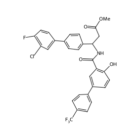 COC(=O)CC(NC(=O)c1cc(-c2ccc(C(F)(F)F)cc2)ccc1O)c1ccc(-c2ccc(F)c(Cl)c2)cc1